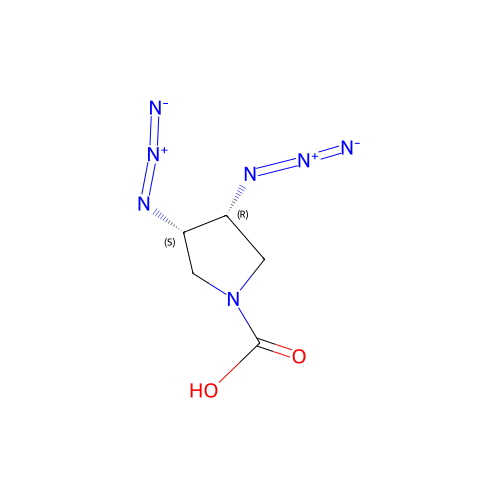 [N-]=[N+]=N[C@H]1CN(C(=O)O)C[C@H]1N=[N+]=[N-]